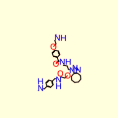 CNCCOc1ccc(C(=O)NCCCn2nnc3c2C(OCC(=O)NCc2ccc(CNC)cc2)CCCCC3)cc1